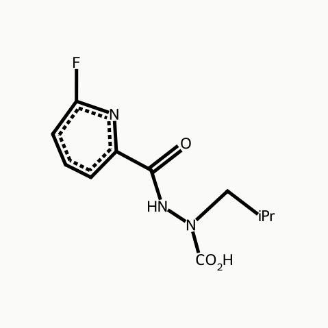 CC(C)CN(NC(=O)c1cccc(F)n1)C(=O)O